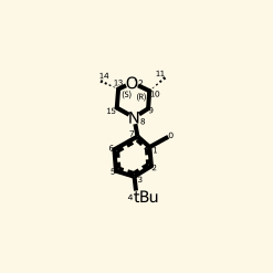 Cc1cc(C(C)(C)C)ccc1N1C[C@@H](C)O[C@@H](C)C1